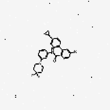 O=C(Nc1cccc(N2CCC(F)(F)CC2)c1)c1ccc(Br)cc1-c1ccc(C2CC2)cc1